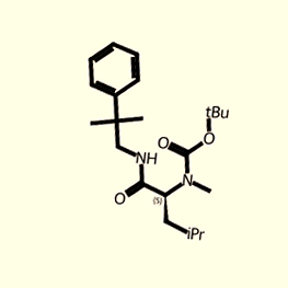 CC(C)C[C@@H](C(=O)NCC(C)(C)c1ccccc1)N(C)C(=O)OC(C)(C)C